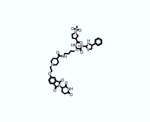 CS(=O)(=O)N1CCC(C(=O)N[C@@H](CCCCNC(=O)C2CCN(CCOc3ccc4c(c3)C(=O)N(C3CCC(=O)NC3=O)C4=O)CC2)C(=O)NC2NC(c3ccccc3)CS2)C1